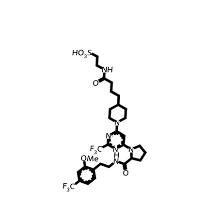 COc1cc(C(F)(F)F)ccc1CCNC(=O)C1CCCN1c1cc(N2CCC(CCCC(=O)NCCS(=O)(=O)O)CC2)nc(C(F)(F)F)n1